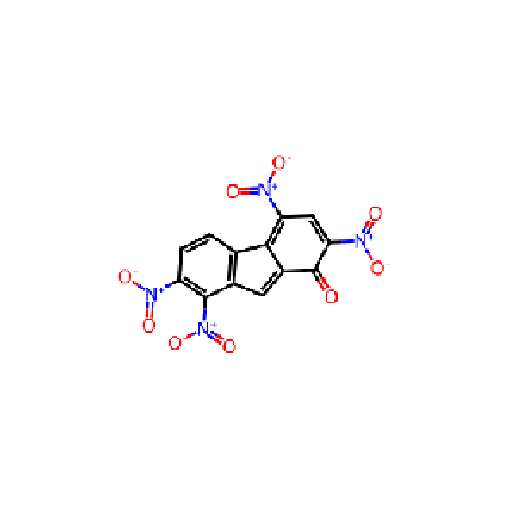 O=C1C2=Cc3c(ccc([N+](=O)[O-])c3[N+](=O)[O-])C2=C([N+](=O)[O-])C=C1[N+](=O)[O-]